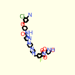 N#Cc1ccc(O[C@H]2CC[C@H](NC(=O)c3ccc(N4CCC(N5CCN(Cc6cc(F)c7c(c6)C(=O)N(C6CCC(=O)NC6=O)C7=O)CC5)CC4)nn3)CC2)cc1Cl